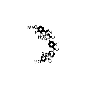 COc1ccc(-c2cnc(C(=O)Nc3ccc(C(=O)N4CCN(C(=O)[C@@H]5C[C@@H](O)C[N+]5(C)C)CC4)c(Cl)c3)n2C)c(Cl)c1F